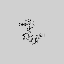 O=Cc1c(O)cccc1OC[C@H]1CSCCN1Cc1cccnc1CCO